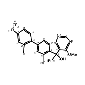 COc1ncncc1C(O)(c1ccc(-c2ccc(OC(F)(F)F)cc2C)cc1F)C(C)(C)C